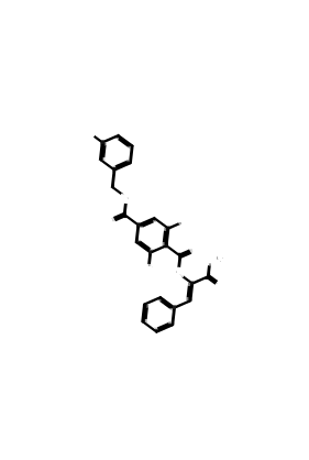 COC(=O)/C(=C/c1ccccc1)NC(=O)c1c(C)cc(C(=O)NCc2cccc(O)c2)cc1Cl